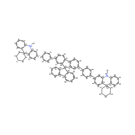 CN1c2ccccc2[Si]2(CCCCC2)c2ccc(-c3ccc(-c4ccc5c(c4)C4(c6ccccc6-c6ccccc64)c4cc(-c6ccc(-c7ccc8c(c7)N(C)c7ccccc7[Si]87CCCCC7)cc6)ccc4-5)cc3)cc21